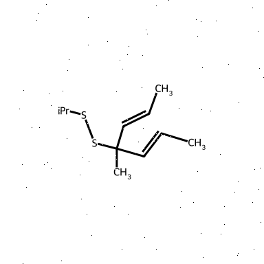 CC=CC(C)(C=CC)SSC(C)C